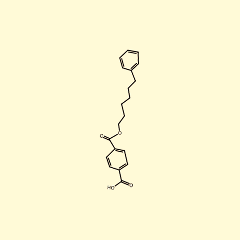 O=C(O)c1ccc(C(=O)OCCCCCCc2ccccc2)cc1